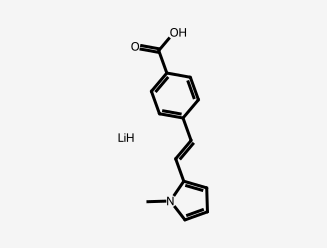 Cn1cccc1/C=C/c1ccc(C(=O)O)cc1.[LiH]